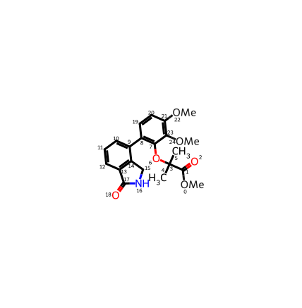 COC(=O)C(C)(C)Oc1c(-c2cccc3c2CNC3=O)ccc(OC)c1OC